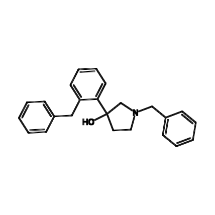 OC1(c2ccccc2Cc2ccccc2)CCN(Cc2ccccc2)C1